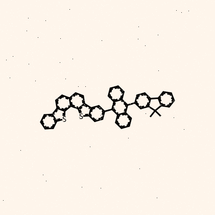 CC1(C)c2ccccc2-c2ccc(-c3c4ccccc4c(-c4ccc5sc6c(ccc7ccc8c9ccccc9sc8c76)c5c4)c4ccccc34)cc21